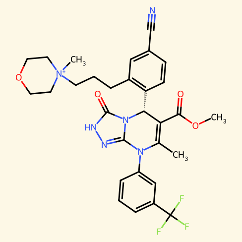 COC(=O)C1=C(C)N(c2cccc(C(F)(F)F)c2)c2n[nH]c(=O)n2[C@@H]1c1ccc(C#N)cc1CCC[N+]1(C)CCOCC1